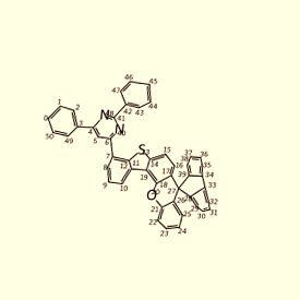 c1ccc(-c2cc(-c3cccc4c3sc3ccc5c(c34)Oc3ccccc3C53c4ccccc4-c4ccccc43)nc(-c3ccccc3)n2)cc1